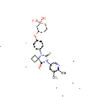 Cc1cc(N2C(=O)C3(CCC3)N(c3ccc(OC4CCSC(O)(O)C4)cc3)C2=S)cnc1C#N